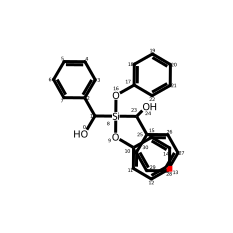 OC(c1ccccc1)[Si](Oc1ccccc1)(Oc1ccccc1)C(O)c1ccccc1